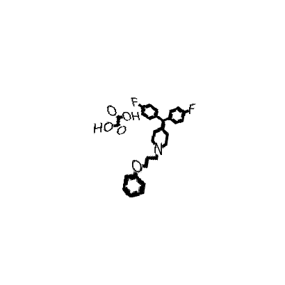 Fc1ccc(C(=C2CCN(CCCOc3ccccc3)CC2)c2ccc(F)cc2)cc1.O=C(O)C(=O)O